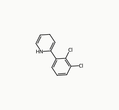 Clc1cccc(C2=CCC=CN2)c1Cl